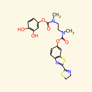 CN(CCN(C)C(=O)Oc1ccc2nc(C3=NCCS3)sc2c1)C(=O)Oc1ccc(O)c(O)c1